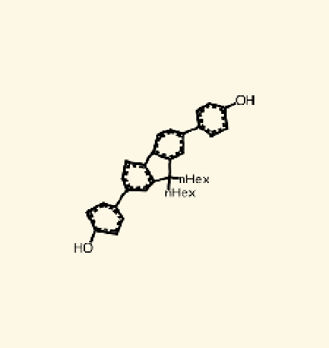 CCCCCCC1(CCCCCC)c2cc(-c3ccc(O)cc3)ccc2-c2ccc(-c3ccc(O)cc3)cc21